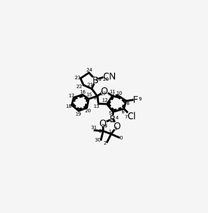 CC1(C)OB(c2c(Cl)c(F)cc3c2CC(c2ccccc2)(C2CCCB2C#N)O3)OC1(C)C